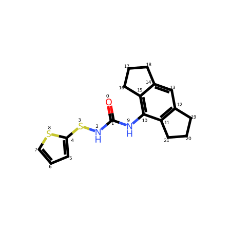 O=C(NSc1cccs1)Nc1c2c(cc3c1CCC3)CCC2